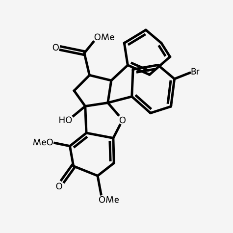 COC(=O)C1CC2(O)C3=C(OC)C(=O)C(OC)C=C3OC2(c2ccc(Br)cc2)C1c1ccccc1